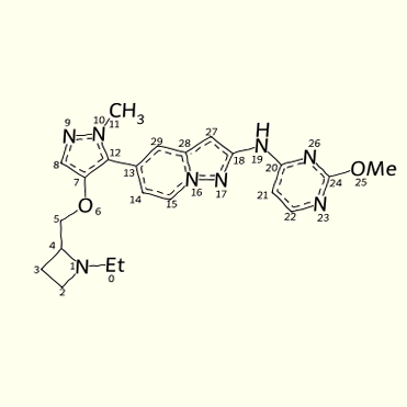 CCN1CCC1COc1cnn(C)c1-c1ccn2nc(Nc3ccnc(OC)n3)cc2c1